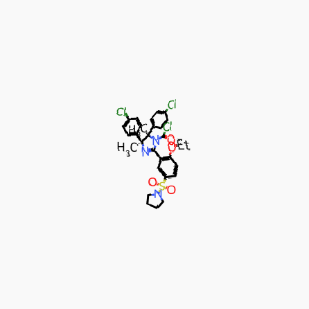 CCOc1ccc(S(=O)(=O)N2CCCC2)cc1C1=N[C@@](C)(c2ccc(Cl)cc2)[C@@](C)(c2ccc(Cl)cc2)N1C(=O)Cl